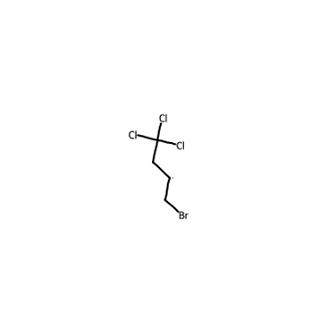 ClC(Cl)(Cl)C[CH]CBr